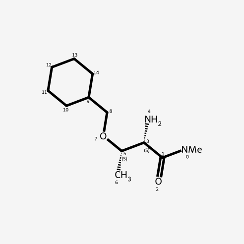 CNC(=O)[C@@H](N)[C@H](C)OCC1CCCCC1